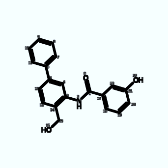 O=C(Nc1cc(-c2ccccc2)ccc1CO)c1cccc(O)c1